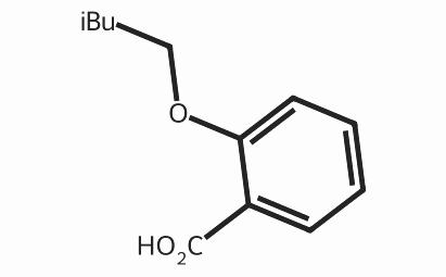 CCC(C)COc1ccccc1C(=O)O